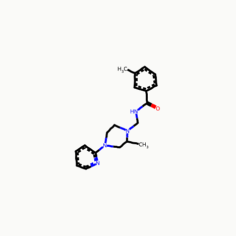 Cc1cccc(C(=O)NCN2CCN(c3ccccn3)CC2C)c1